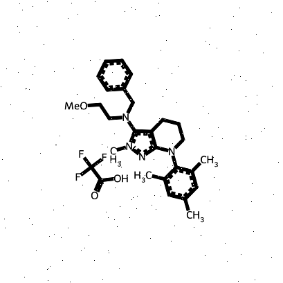 COCCN(Cc1ccccc1)c1c2c(nn1C)N(c1c(C)cc(C)cc1C)CCC2.O=C(O)C(F)(F)F